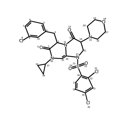 O=C1C(Cc2cccc(Cl)c2)N2C(=O)C(N3CCOCC3)CN(S(=O)(=O)c3ccc(Cl)cc3Cl)C2=CN1C1CC1